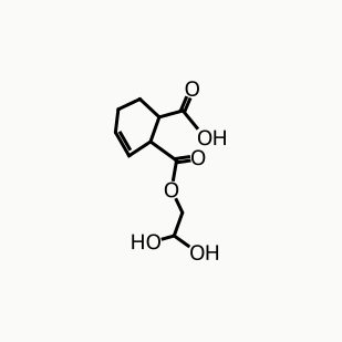 O=C(OCC(O)O)C1C=CCCC1C(=O)O